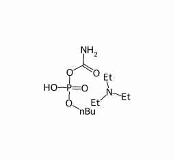 CCCCOP(=O)(O)OC(N)=O.CCN(CC)CC